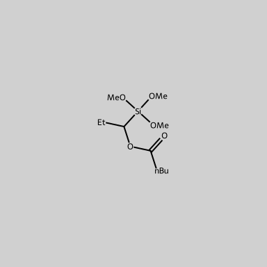 CCCCC(=O)OC(CC)[Si](OC)(OC)OC